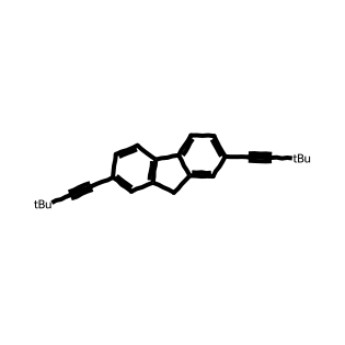 CC(C)(C)C#Cc1ccc2c(c1)Cc1cc(C#CC(C)(C)C)ccc1-2